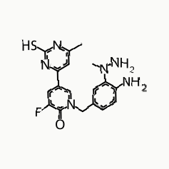 Cc1cc(-c2cc(F)c(=O)n(Cc3ccc(N)c(N(C)N)c3)c2)nc(S)n1